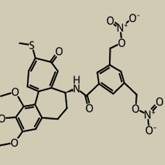 COc1cc2c(c(OC)c1OC)-c1ccc(SC)c(=O)cc1[C@@H](NC(=O)c1cc(CO[N+](=O)[O-])cc(CO[N+](=O)[O-])c1)CC2